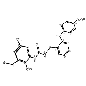 COc1c(CO)cc(C(F)(F)F)cc1NC(=O)NCc1ccccc1Oc1ccc(C(=O)O)cc1